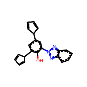 Oc1c(C2C=CC=C2)cc(C2C=CC=C2)cc1-n1nc2ccccc2n1